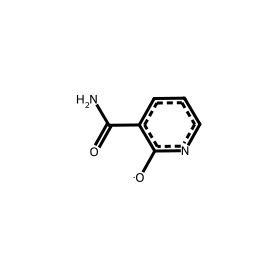 NC(=O)c1cccnc1[O]